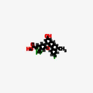 CCCc1cc2cc(O)ccc2c(Oc2ccc(/C=C/C(=O)O)c(C(F)(F)F)c2)c1-c1ccc(F)cc1